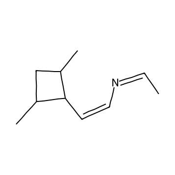 C/C=N\C=C/C1C(C)CC1C